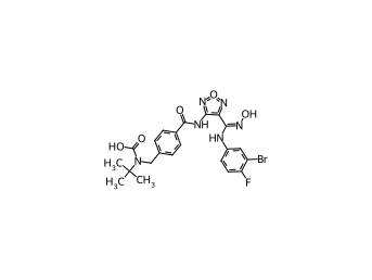 CC(C)(C)N(Cc1ccc(C(=O)Nc2nonc2/C(=N\O)Nc2ccc(F)c(Br)c2)cc1)C(=O)O